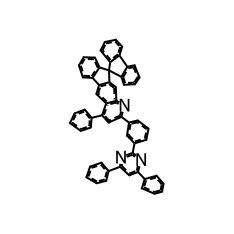 c1ccc(-c2cc(-c3ccccc3)nc(-c3cccc(-c4cc(-c5ccccc5)c5cc6c(cc5n4)C4(c5ccccc5-c5ccccc54)c4ccccc4-6)c3)n2)cc1